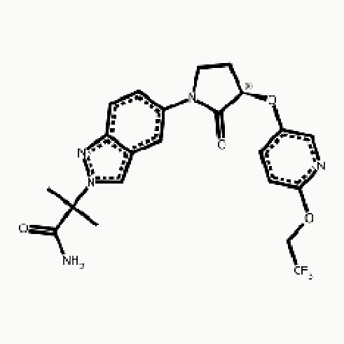 CC(C)(C(N)=O)n1cc2cc(N3CC[C@@H](Oc4ccc(OCC(F)(F)F)nc4)C3=O)ccc2n1